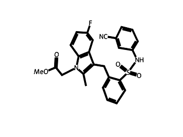 COC(=O)Cn1c(C)c(Cc2ccccc2S(=O)(=O)Nc2cccc(C#N)c2)c2cc(F)ccc21